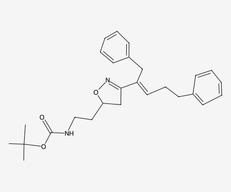 CC(C)(C)OC(=O)NCCC1CC(/C(=C/CCc2ccccc2)Cc2ccccc2)=NO1